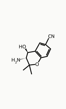 CC1(C)Oc2ccc(C#N)cc2[C@H](O)[C@H]1N